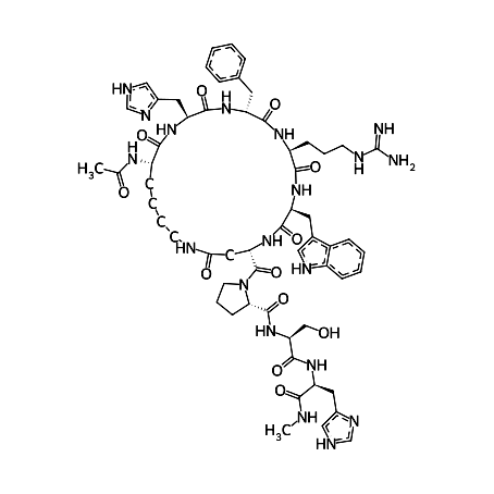 CNC(=O)[C@H](Cc1c[nH]cn1)NC(=O)[C@H](CO)NC(=O)[C@@H]1CCCN1C(=O)[C@@H]1CC(=O)NCCCC[C@H](NC(C)=O)C(=O)N[C@@H](Cc2c[nH]cn2)C(=O)N[C@H](Cc2ccccc2)C(=O)N[C@@H](CCCNC(=N)N)C(=O)N[C@@H](Cc2c[nH]c3ccccc23)C(=O)N1